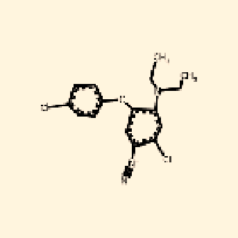 CCN(CC)c1cc(Cl)c([N+]#N)cc1Oc1ccc(Cl)cc1